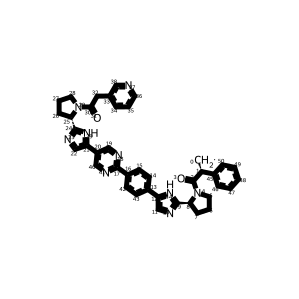 [CH2][C@@H](C(=O)N1CCC[C@H]1c1ncc(-c2ccc(-c3ncc(-c4cnc([C@@H]5CCCN5C(=O)Cc5cccnc5)[nH]4)cn3)cc2)[nH]1)c1ccccc1